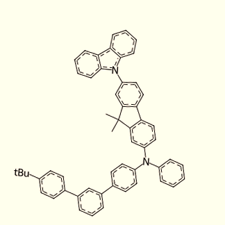 CC(C)(C)c1ccc(-c2cccc(-c3ccc(N(c4ccccc4)c4ccc5c(c4)C(C)(C)c4cc(-n6c7ccccc7c7ccccc76)ccc4-5)cc3)c2)cc1